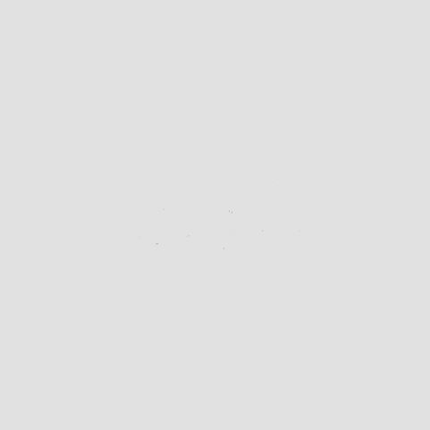 O=C1C[C@@H]2CCN(C(=O)OCc3ccccc3)[C@@H]2C1